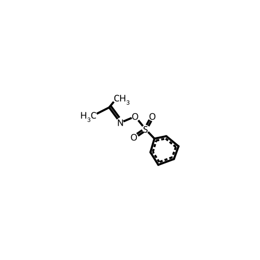 CC(C)=NOS(=O)(=O)c1ccccc1